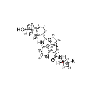 Cc1nc(NCc2cccc(C(F)(F)C(C)(C)O)c2F)c(C2OCCO2)c(C(F)C(=O)N[C@@H]2CC3(F)CC2C3)n1